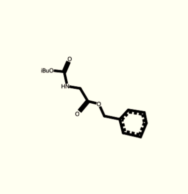 CC(C)COC(=O)NCC(=O)OCc1ccccc1